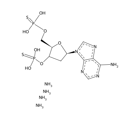 N.N.N.N.Nc1ncnc2c1ncn2[C@H]1CC(OP(O)(O)=S)[C@@H](COP(O)(O)=S)O1